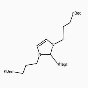 CCCCCCCCCCCCCN1C=CN(CCCCCCCCCCCCC)C1CCCCCCC